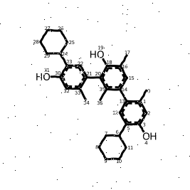 Cc1cc(O)c(C2CCCCC2)cc1-c1cc(C)c(O)c(-c2cc(C3CCCCC3)c(O)cc2C)c1C